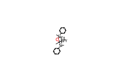 CCCC(C)(O[Si](C)(CC)c1ccccc1)[SiH](C)c1ccccc1